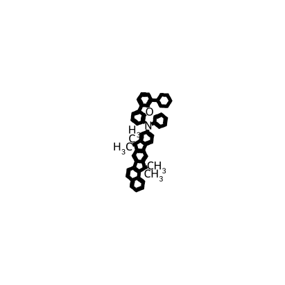 CC1(C)c2cc(N(c3ccccc3)c3cccc4c3oc3c(C5CCCCC5)cccc34)ccc2-c2cc3c(cc21)-c1ccc2ccccc2c1C3(C)C